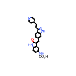 O=C(O)Nc1ccc2c(c1)C(=Cc1ccc3c(C=Cc4ccncc4)n[nH]c3c1)C(=O)N2